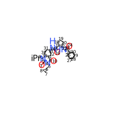 CC(C)N1C(=O)N(CC2CC2)C(=O)C2C=C(NC(=O)C3CCCC3NC(=O)c3ccccc3)C=CC21